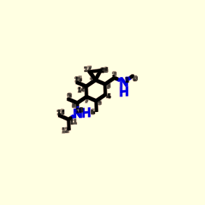 CNCC1CC(C)C(C(C)NC(C)C)C(C)C12CC2